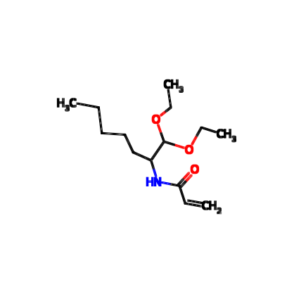 C=CC(=O)NC(CCCCC)C(OCC)OCC